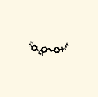 CC(C)Oc1ccc(-n2cnc3cc(C=Cc4ccc(C(C)(C)N=[N+]=[N-])cc4)ccc32)cc1